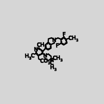 Cc1ccc(F)c(CN2CCc3cc(-c4c(C)nc(C)c(CC(=O)O)c4N4CCC(C)(C)CC4)ccc3C2)c1F